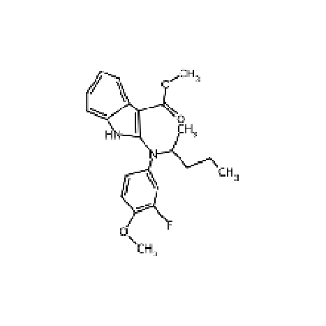 CCCC(C)N(c1ccc(OC)c(F)c1)c1[nH]c2ccccc2c1C(=O)OC